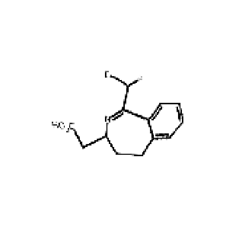 O=C(O)CC1CCc2ccccc2C(C(F)F)=N1